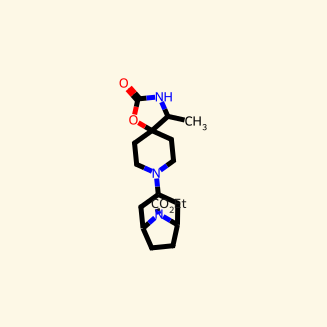 CCOC(=O)N1C2CCC1CC(N1CCC3(CC1)OC(=O)NC3C)C2